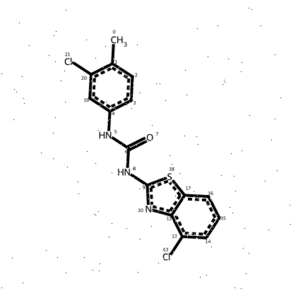 Cc1ccc(NC(=O)Nc2nc3c(Cl)cccc3s2)cc1Cl